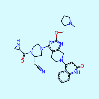 CN1CCC[C@H]1COc1nc2c(c(N3CCN(C(=O)[C@H]4CN4)[C@@H](CC#N)C3)n1)CCN(c1cc(=O)[nH]c3ccccc13)C2